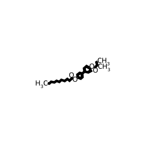 CCCCCCCCCCC(=O)Oc1ccc(-c2ccc(OC(=O)C(C)CC)cc2)cc1